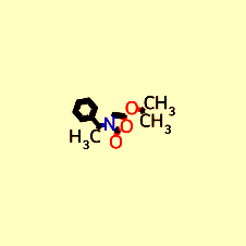 CC(C)Oc1cn(C(C)c2ccccc2)c(=O)o1